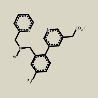 CC(=O)N(Cc1ccccn1)Cc1cc(C(F)(F)F)ccc1-c1cncc(CC(=O)O)c1